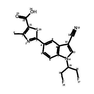 Cc1nc(-c2ccc3c(c2)c(C#N)cn3C(CF)CF)sc1C(=O)O